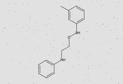 [CH2]c1cccc(BOCCNc2ccccc2)c1